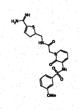 COc1cccc(S(=O)(=O)Nc2cccn(CC(=O)NCC3CC=C(C(=N)N)S3)c2=O)c1